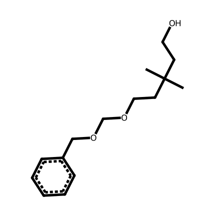 CC(C)(CCO)CCOCOCc1ccccc1